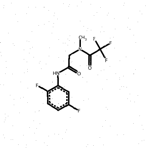 CN(CC(=O)Nc1cc(F)ccc1F)C(=O)C(F)(F)F